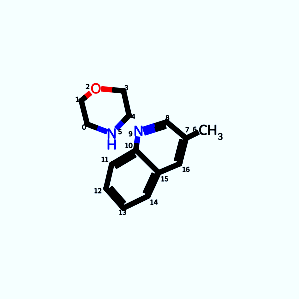 C1COCCN1.Cc1cnc2ccccc2c1